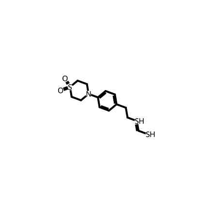 O=S1(=O)CCN(c2ccc(CC[SH]=CS)cc2)CC1